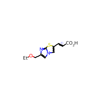 CCOCc1cn2cc(/C=C/C(=O)O)sc2n1